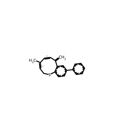 C=C1/C=C\C(C)=C/CSc2ccc(-c3ccccc3)cc21